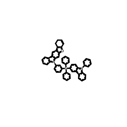 C1=Cc2oc3cc4c(cc3c2CC1)c1ccccc1n4-c1cccc([Si](c2ccccc2)(c2ccccc2)c2ccc3c(c2)c2ccccc2n3-c2ccccc2)c1